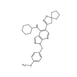 COc1ccc(Cn2ncc3c(NC4CCCCC4)c(C4=NOC5(CCCC5)C4)cnc32)cc1